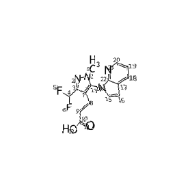 Cn1nc(C(F)F)c(/C=C/C(=O)O)c1-n1ccc2cccnc21